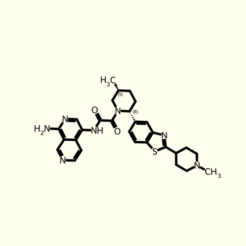 C[C@H]1CC[C@H](c2ccc3sc(C4CCN(C)CC4)nc3c2)N(C(=O)C(=O)Nc2cnc(N)c3cnccc23)C1